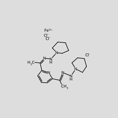 CC(=NNN1CCCCC1)c1cccc(C(C)=NNN2CCCCC2)n1.[Cl-].[Cl-].[Cl-].[Fe+3]